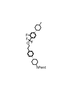 CCCCC[C@H]1CC[C@H](c2ccc(CCOC(F)(F)c3ccc([C@H]4CC[C@H](C)CC4)cc3F)cc2)CC1